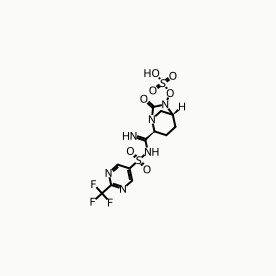 N=C(NS(=O)(=O)c1cnc(C(F)(F)F)nc1)[C@@H]1CC[C@@H]2CN1C(=O)N2OS(=O)(=O)O